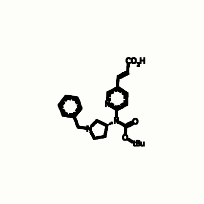 CC(C)(C)OC(=O)N(c1ccc(C=CC(=O)O)cn1)[C@@H]1CCN(Cc2ccccc2)C1